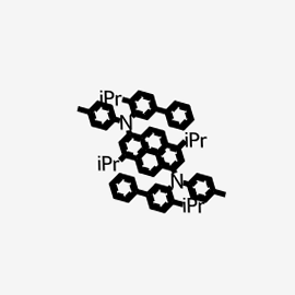 Cc1ccc(N(c2cc(-c3ccccc3)ccc2C(C)C)c2cc(C(C)C)c3ccc4c(N(c5ccc(C)cc5)c5cc(-c6ccccc6)ccc5C(C)C)cc(C(C)C)c5ccc2c3c54)cc1